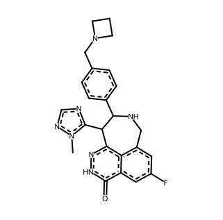 Cn1ncnc1C1c2n[nH]c(=O)c3cc(F)cc(c23)CNC1c1ccc(CN2CCC2)cc1